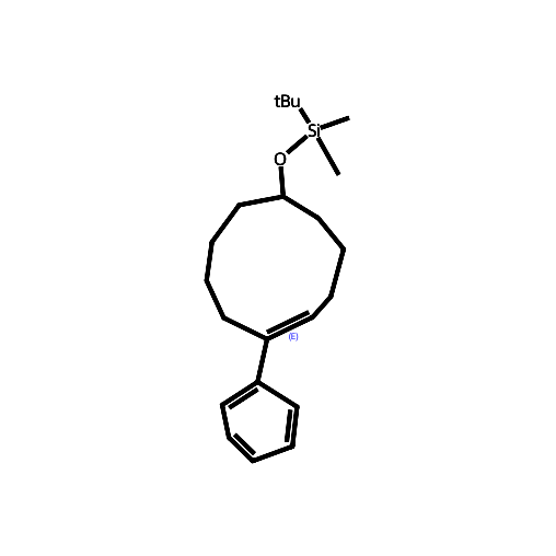 CC(C)(C)[Si](C)(C)OC1CCC/C=C(/c2ccccc2)CCCC1